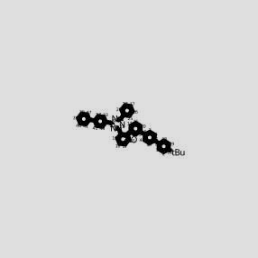 CC(C)(C)c1ccc(-c2ccc(-c3cccc4c3oc3cccc(-c5nc(-c6ccccc6)nc(-c6ccc(-c7ccccc7)cc6)n5)c34)cc2)cc1